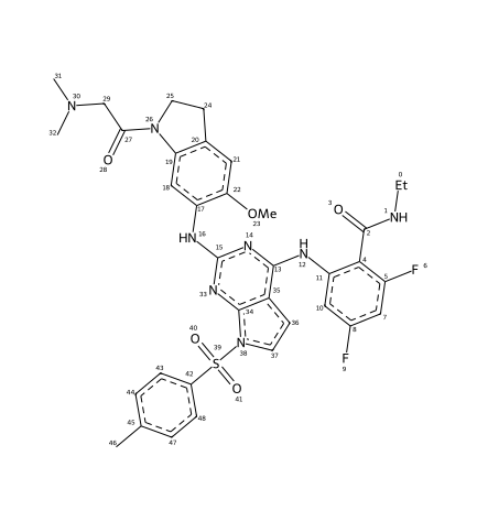 CCNC(=O)c1c(F)cc(F)cc1Nc1nc(Nc2cc3c(cc2OC)CCN3C(=O)CN(C)C)nc2c1ccn2S(=O)(=O)c1ccc(C)cc1